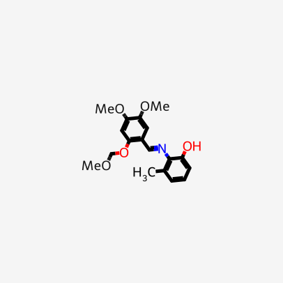 COCOc1cc(OC)c(OC)cc1C=Nc1c(C)cccc1O